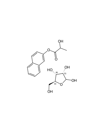 CC(O)C(=O)Oc1ccc2ccccc2c1.OC[C@@H]1OC(O)[C@@H](O)[C@H]1O